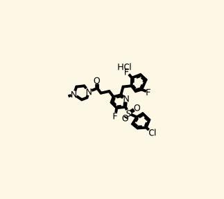 CN1CCN(C(=O)CCc2cc(F)c(S(=O)(=O)c3ccc(Cl)cc3)nc2Cc2cc(F)ccc2F)CC1.Cl